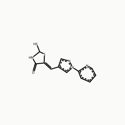 O=C1NC(S)S/C1=C\c1cnn(-c2ccccn2)c1